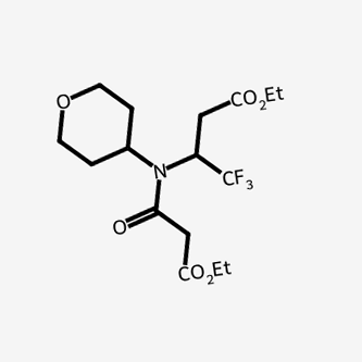 CCOC(=O)CC(=O)N(C1CCOCC1)C(CC(=O)OCC)C(F)(F)F